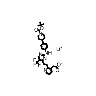 CC(C)(C)OC(=O)N1CCC(c2ccc(Nc3ncc(C(F)(F)F)c(CCc4ncccc4CC(=O)[O-])n3)cc2)CC1.[Li+]